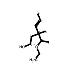 CC=CC(C)(CCO)C(C)OCN